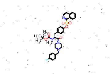 CN(C(=O)OC(C)(C)C)[C@@H](Cc1ccc(OS(=O)(=O)c2nccc3ccccc23)cc1)C(=O)N1CCN(Cc2ccc(F)cc2)CC1